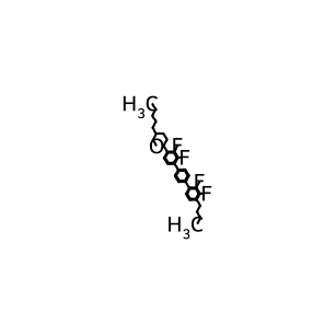 CCCCCC1CCC(c2ccc(-c3ccc(-c4ccc(CCCC)c(F)c4F)cc3)c(F)c2F)OC1